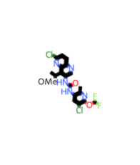 COC(C)c1c(NC(=O)Nc2cc(Cl)c(OC(F)F)nc2C)cnc2ccc(Cl)nc12